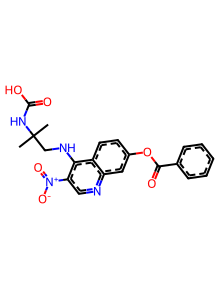 CC(C)(CNc1c([N+](=O)[O-])cnc2cc(OC(=O)c3ccccc3)ccc12)NC(=O)O